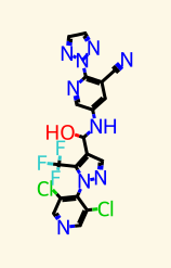 N#Cc1cc(NC(O)c2cnn(-c3c(Cl)cncc3Cl)c2C(F)(F)F)cnc1-n1nccn1